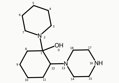 OC1(N2CCCCC2)CCCCC1N1CCNCC1